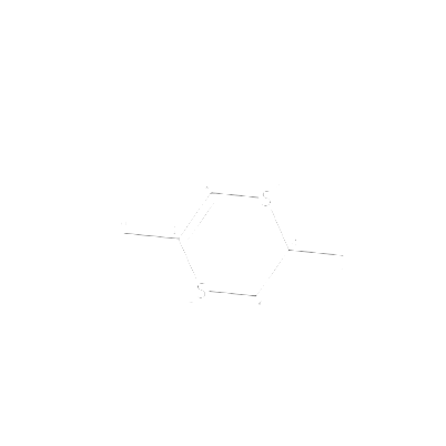 CC1=CSC(C)CS1